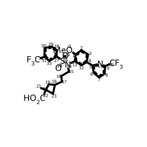 COc1ccc(-c2cccc(C(F)(F)F)n2)cc1N(CCCC1CC(C)(C(=O)O)C1)S(=O)(=O)c1cccc(C(F)(F)F)c1